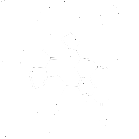 Cc1cc(C(C)Nc2ccccc2C(=O)O)c2oc(-n3ccnc3)cc(=O)c2c1